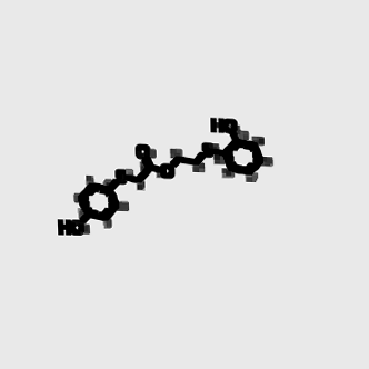 O=C(CSc1ccc(O)cc1)OCCSc1ccccc1O